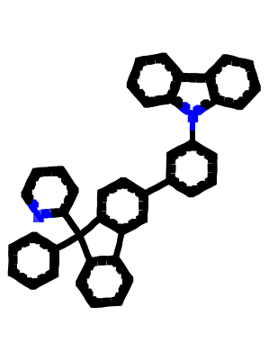 c1ccc(C2(c3ccccn3)c3ccccc3-c3cc(-c4cccc(-n5c6ccccc6c6ccccc65)c4)ccc32)cc1